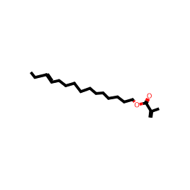 C=C(C)C(=O)OCCCCCCCCCCC/C=C/CC